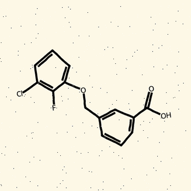 O=C(O)c1cccc(COc2cccc(Cl)c2F)c1